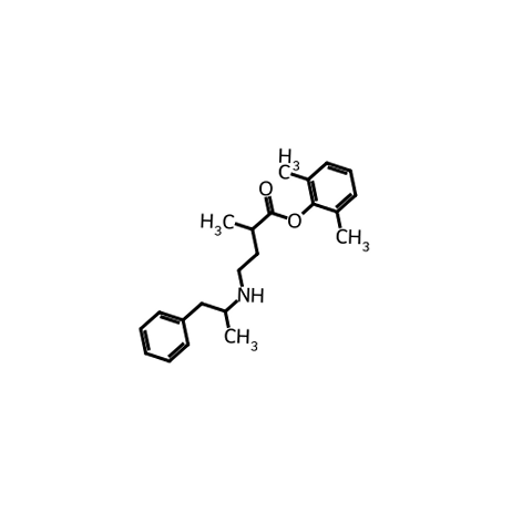 Cc1cccc(C)c1OC(=O)C(C)CCNC(C)Cc1ccccc1